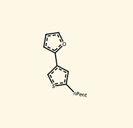 CCCCCc1cc(-c2ccco2)cs1